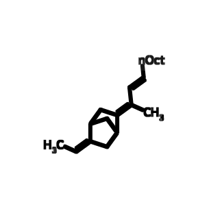 CC=C1CC2CC1CC2=C(C)C=CCCCCCCCC